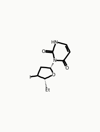 CC[C@H]1O[C@@H](n2c(=O)cc[nH]c2=O)CC1I